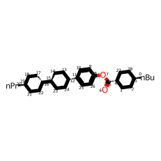 CCCC[C@H]1CC[C@H](C(=O)Oc2ccc([C@H]3CC[C@H]([C@H]4CC[C@H](CCC)CC4)CC3)cc2)CC1